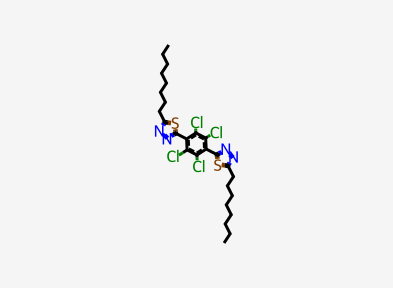 CCCCCCCCc1nnc(-c2c(Cl)c(Cl)c(-c3nnc(CCCCCCCC)s3)c(Cl)c2Cl)s1